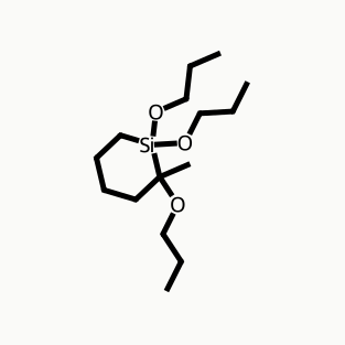 CCCOC1(C)CCCC[Si]1(OCCC)OCCC